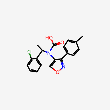 Cc1ccc(-c2nocc2N(C(=O)O)C(C)c2ccccc2Cl)cc1